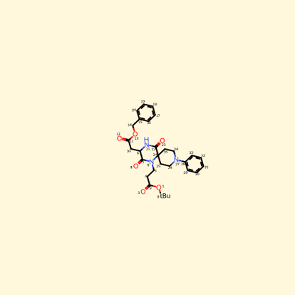 CC(C)(C)OC(=O)CCN1C(=O)C(CC(=O)OCc2ccccc2)NC(=O)C12CCN(c1ccccc1)CC2